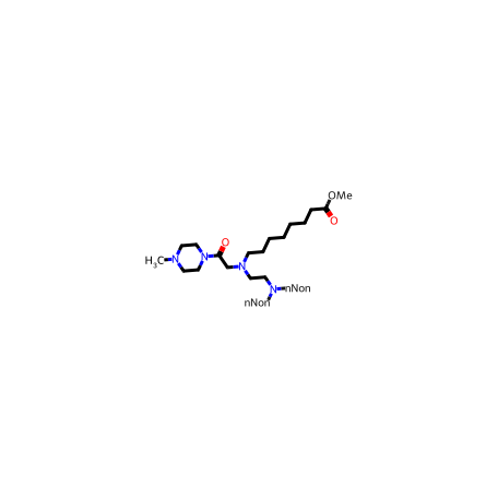 CCCCCCCCCN(CCCCCCCCC)CCN(CCCCCCCC(=O)OC)CC(=O)N1CCN(C)CC1